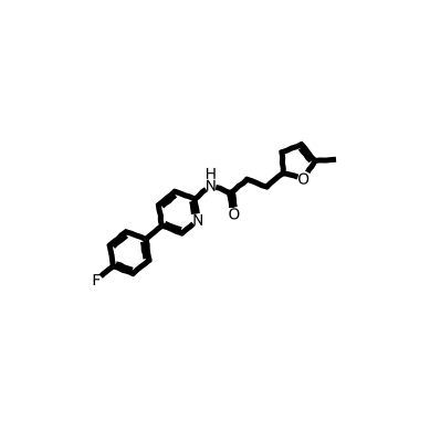 CC1=CCC(CCC(=O)Nc2ccc(-c3ccc(F)cc3)cn2)O1